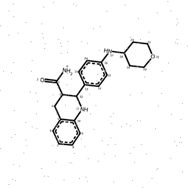 NC(=O)C1Cc2ccccc2NC1c1ccc(NC2CCOCC2)cc1